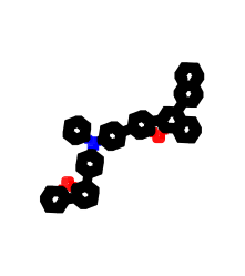 c1ccc(N(c2ccc(-c3ccc4c(c3)oc3c5ccccc5c(-c5ccc6ccccc6c5)cc43)cc2)c2ccc(-c3cccc4c3oc3ccccc34)cc2)cc1